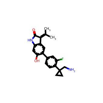 CC(C)=C1C(=O)Nc2cc(O)c(-c3ccc(C4(CN)CC4)c(F)c3)cc21